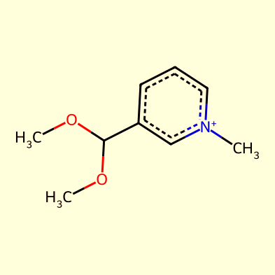 COC(OC)c1ccc[n+](C)c1